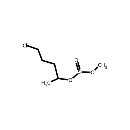 CO[Si](=O)OC(C)CCCCl